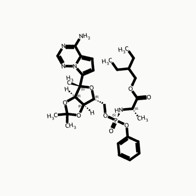 CCC(CC)COC(=O)[C@H](C)N[P@](=O)(OC[C@H]1O[C@@](C)(c2ccc3c(N)ncnn23)[C@@H]2OC(C)(C)O[C@@H]21)Oc1ccccc1